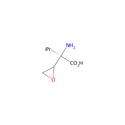 CC(C)[C@](N)(C(=O)O)C1CO1